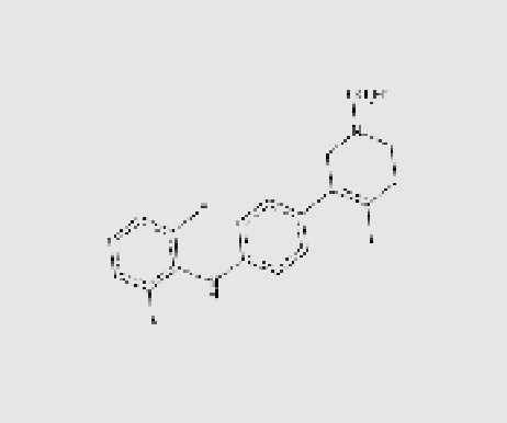 CCOC(=O)N1CCC(C)=C(c2ccc(Nc3c(F)cccc3F)cc2)C1